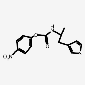 CC(Cc1ccsc1)NC(=O)Oc1ccc([N+](=O)[O-])cc1